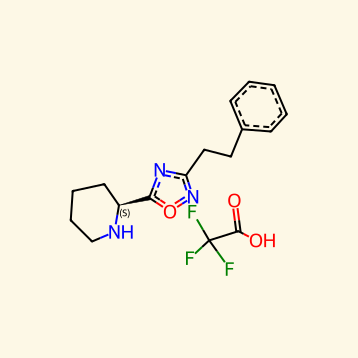 O=C(O)C(F)(F)F.c1ccc(CCc2noc([C@@H]3CCCCN3)n2)cc1